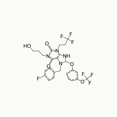 O=c1c2c(n(CCC(F)(F)F)c(=O)n1CCCO)NC(Oc1cccc(OC(F)(F)F)c1)N2Cc1ccc(F)cc1